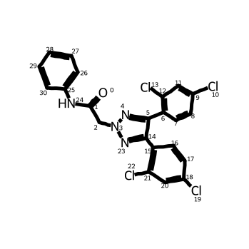 O=C(Cn1nc(-c2ccc(Cl)cc2Cl)c(-c2ccc(Cl)cc2Cl)n1)Nc1ccccc1